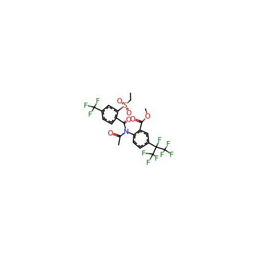 CCS(=O)(=O)c1cc(C(F)(F)F)ccc1C(=O)N(C(C)=O)c1ccc(C(F)(C(F)(F)F)C(F)(F)F)cc1C(=O)OC